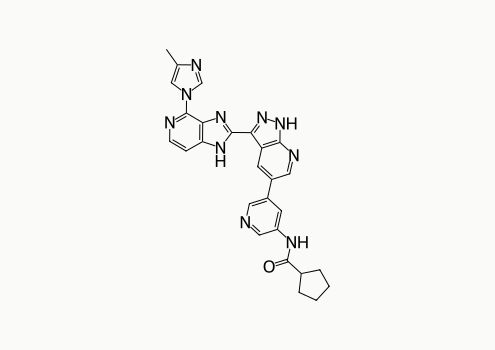 Cc1cn(-c2nccc3[nH]c(-c4n[nH]c5ncc(-c6cncc(NC(=O)C7CCCC7)c6)cc45)nc23)cn1